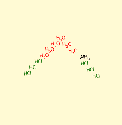 Cl.Cl.Cl.Cl.Cl.Cl.O.O.O.O.O.O.[AlH3]